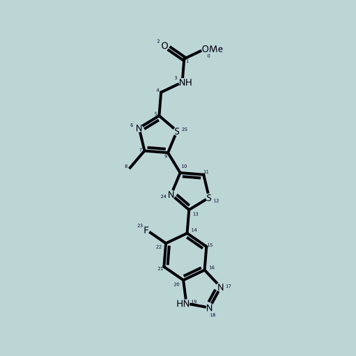 COC(=O)NCc1nc(C)c(-c2csc(-c3cc4nn[nH]c4cc3F)n2)s1